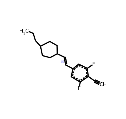 C#Cc1c(F)cc(/C=C/C2CCC(CCC)CC2)cc1F